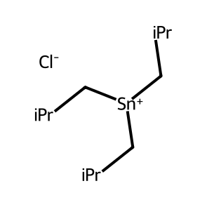 CC(C)[CH2][Sn+]([CH2]C(C)C)[CH2]C(C)C.[Cl-]